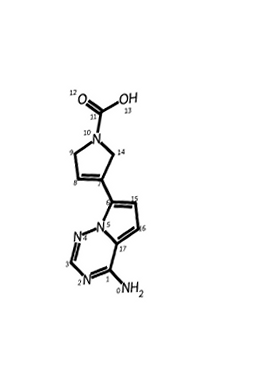 Nc1ncnn2c(C3=CCN(C(=O)O)C3)ccc12